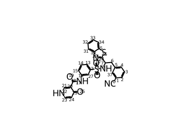 N#Cc1cccc(CC(NS(=O)(=O)c2cccc(NC(=O)c3c[nH]ccc3=O)c2)c2nc3ccccc3s2)c1